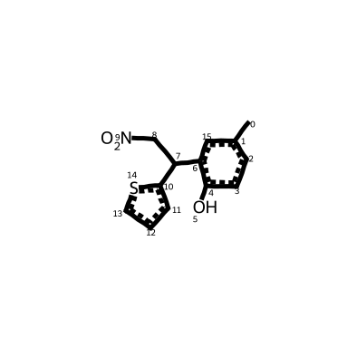 Cc1ccc(O)c(C(C[N+](=O)[O-])c2cccs2)c1